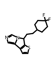 FC1(F)CCC(CCC2c3sccc3-c3cncn32)CC1